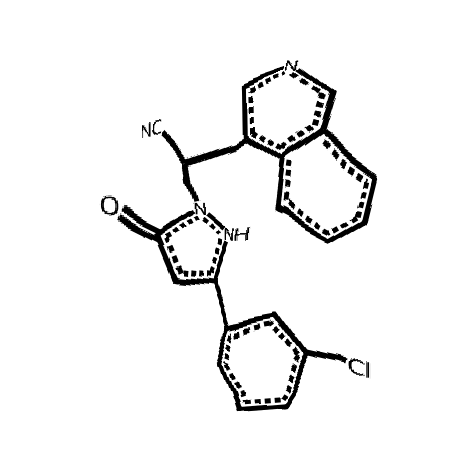 N#CC(c1cncc2ccccc12)n1[nH]c(-c2cccc(Cl)c2)cc1=O